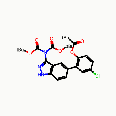 CC(C)(C)OC(=O)N(C(=O)OC(C)(C)C)c1n[nH]c2ccc(-c3cc(Cl)ccc3OC(=O)C(C)(C)C)cc12